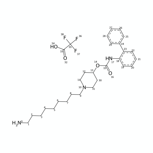 NCCCCCCCCCN1CCC(OC(=O)Nc2ccccc2-c2ccccc2)CC1.O=C(O)C(F)(F)F